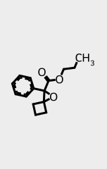 CCCOC(=O)C1(c2ccccc2)OC12CCC2